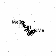 COc1cccc(-c2cc(NC(=O)COCC3CCCCN3S(=O)(=O)c3c(C)cc(OC)cc3C)n[nH]2)c1